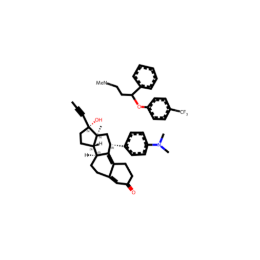 CC#C[C@]1(O)CC[C@H]2[C@@H]3CCC4=CC(=O)CCC4=C3[C@@H](c3ccc(N(C)C)cc3)C[C@@]21C.CNCCC(Oc1ccc(C(F)(F)F)cc1)c1ccccc1